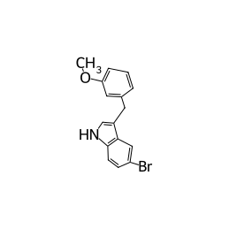 COc1cccc(Cc2c[nH]c3ccc(Br)cc23)c1